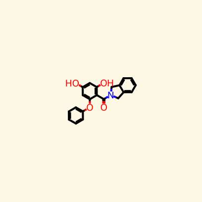 O=C(c1c(O)cc(O)cc1Oc1ccccc1)N1Cc2ccccc2C1